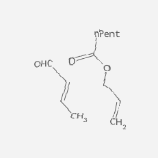 C=CCOC(=O)CCCCC.CC=CC=O